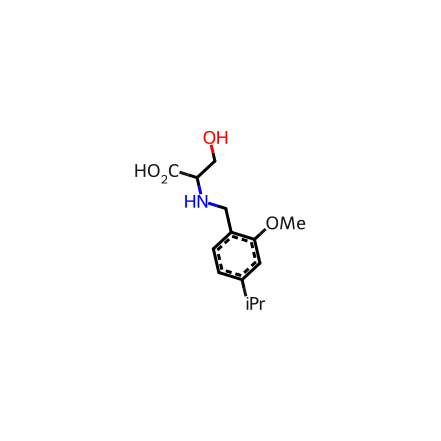 COc1cc(C(C)C)ccc1CNC(CO)C(=O)O